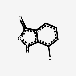 O=c1o[nH]c2c(Cl)cccc12